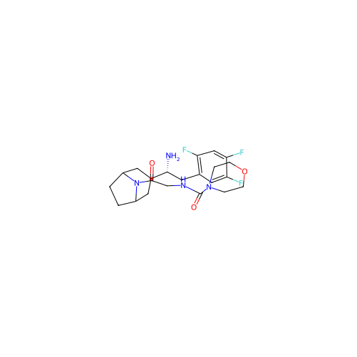 N[C@H](Cc1cc(F)c(F)cc1F)C1CC2CCC(C1)N2C(=O)CNC(=O)N1CCOCC1